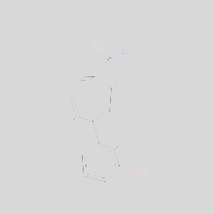 CN(C)C(=O)C1=CC=CC(c2cccc(O)c2)=CC1